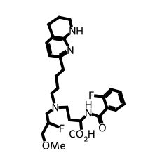 COCC(F)CN(CCCCc1ccc2c(n1)NCCC2)CCC(NC(=O)c1ccccc1F)C(=O)O